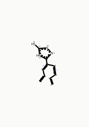 C=C/C=C\C(=C/C=C)c1nnc(S)[nH]1